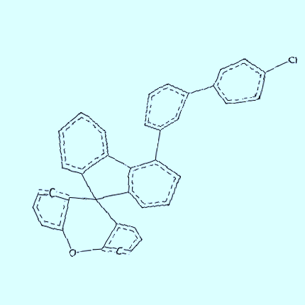 Clc1ccc(-c2cccc(-c3cccc4c3-c3ccccc3C43c4ccccc4Oc4ccccc43)c2)cc1